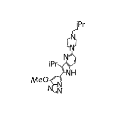 COc1cc(-c2[nH]c3ccc(N4CCN(CCC(C)C)CC4)nc3c2C(C)C)cn2ncnc12